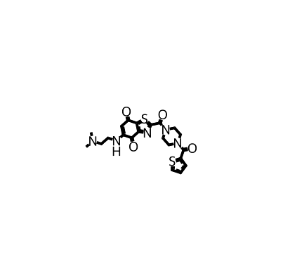 CN(C)CCNC1=CC(=O)c2sc(C(=O)N3CCN(C(=O)c4cccs4)CC3)nc2C1=O